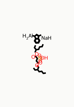 CC1=C[CH]([AlH2])c2ccccc21.CCCCC(CC)COC(=O)CC(C(=O)OCC(CC)CCCC)S(=O)(=O)O.[NaH]